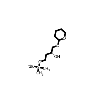 CC(C)(C)[Si](C)(C)OCC[C@@H](O)COC1CCCCO1